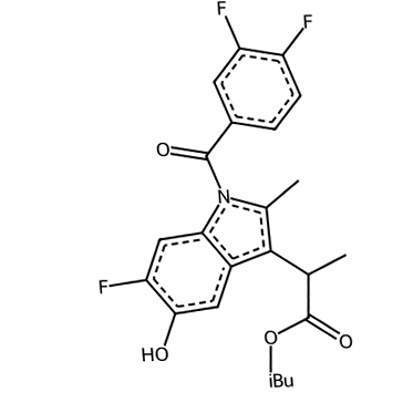 CCC(C)OC(=O)C(C)c1c(C)n(C(=O)c2ccc(F)c(F)c2)c2cc(F)c(O)cc12